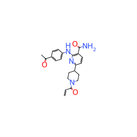 C=CC(=O)N1CCC(c2ccc(C(N)=O)c(Nc3ccc(C(C)=O)cc3)n2)CC1